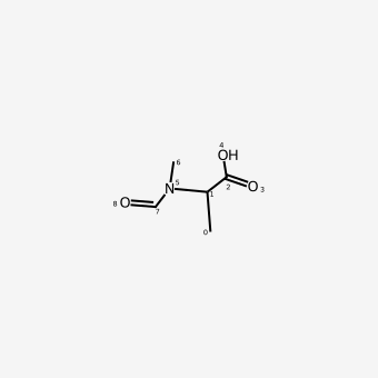 CC(C(=O)O)N(C)C=O